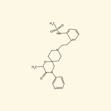 CC1OC2(CCN(CCc3ccccc3NS(C)(=O)=O)CC2)CN(c2ccccc2)C1=O